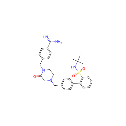 CC(C)(C)NS(=O)(=O)c1ccccc1-c1ccc(CN2CCN(Cc3ccc(C(=N)N)cc3)C(=O)C2)cc1